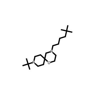 CC(C)(C)CCCCN1CCOC2(CCN(C(C)(C)C)CC2)C1